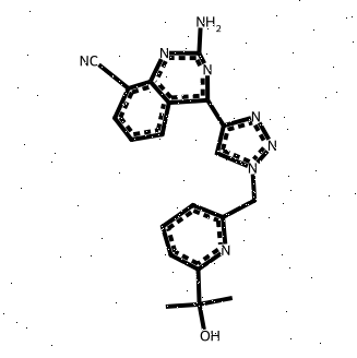 CC(C)(O)c1cccc(Cn2cc(-c3nc(N)nc4c(C#N)cccc34)nn2)n1